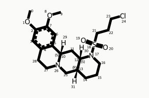 COc1cc2c(cc1OC)[C@@H]1C[C@H]3[C@H](CCCN3S(=O)(=O)CCCCl)CN1CC2